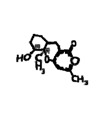 Cc1cc2c(c(=O)o1)C=C1CCC[C@H](O)[C@]1(C)O2